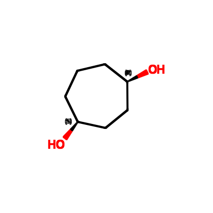 O[C@@H]1CCC[C@H](O)CC1